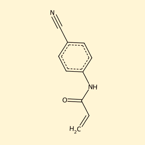 C=CC(=O)Nc1ccc(C#N)cc1